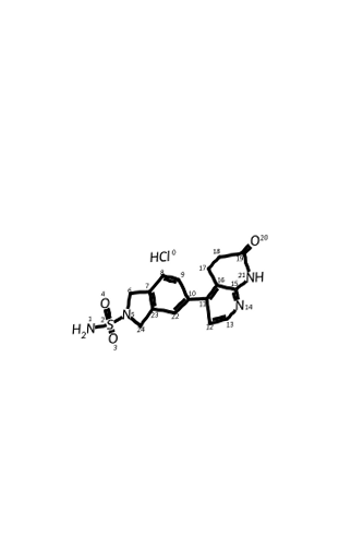 Cl.NS(=O)(=O)N1Cc2ccc(-c3ccnc4c3CCC(=O)N4)cc2C1